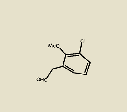 COc1c(Cl)cccc1C[C]=O